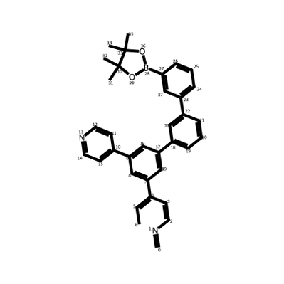 C=N/C=C\C(=C/C)c1cc(-c2ccncc2)cc(-c2cccc(-c3cccc(B4OC(C)(C)C(C)(C)O4)c3)c2)c1